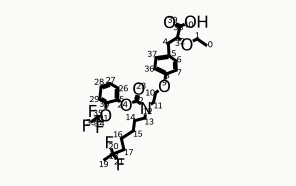 CCOC(Cc1ccc(OCCN(CCCCCC(C)(F)F)C(=O)Oc2ccccc2OC(F)(F)F)cc1)C(=O)O